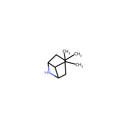 CC1CC2NC(C1)C2C(C)C